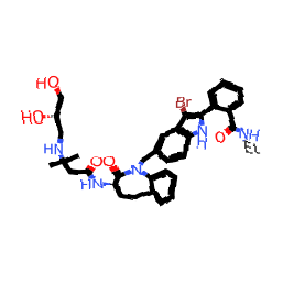 CCNC(=O)c1ccccc1-c1[nH]c2ccc(CN3C(=O)[C@H](NC(=O)CC(C)(C)NC[C@H](O)CO)CCc4ccccc43)cc2c1Br